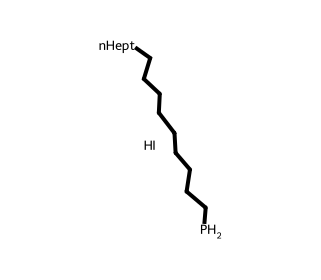 CCCCCCCCCCCCCCCCP.I